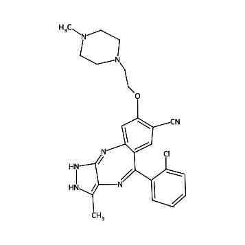 CC1=C2N=C(c3ccccc3Cl)c3cc(C#N)c(OCCN4CCN(C)CC4)cc3N=C2NN1